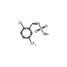 CC(C)(C)S(=O)(=O)/N=C\c1cc(C(F)(F)F)ccc1Cl